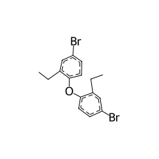 CCc1cc(Br)ccc1Oc1ccc(Br)cc1CC